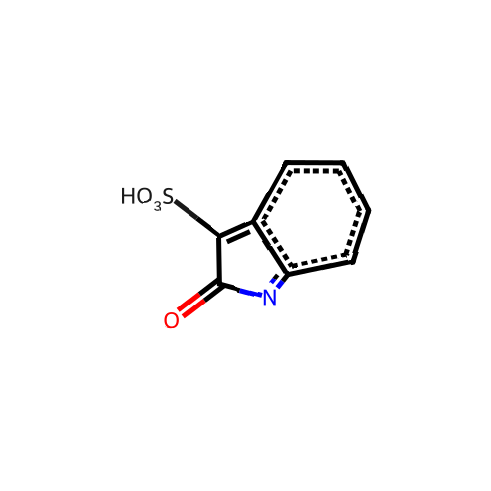 O=C1N=c2ccccc2=C1S(=O)(=O)O